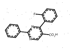 O=C(O)c1cnc(-c2ccccc2)nc1-c1ccccc1F